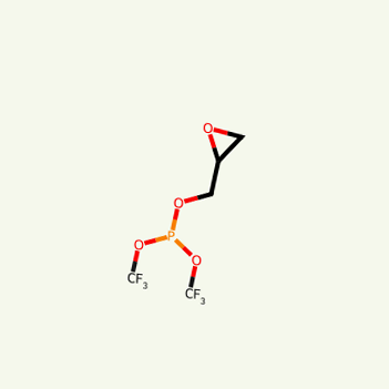 FC(F)(F)OP(OCC1CO1)OC(F)(F)F